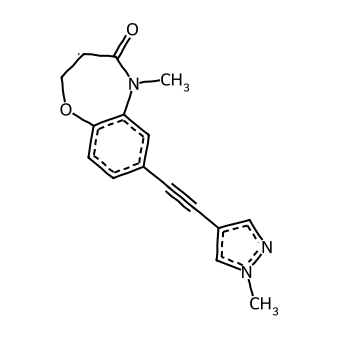 CN1C(=O)[CH]COc2ccc(C#Cc3cnn(C)c3)cc21